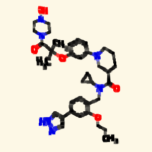 CCCOc1cc(-c2cn[nH]c2)ccc1CN(C(=O)[C@@H]1CCCN(c2cccc(OC(C)(C)C(=O)N3CCN(O)CC3)c2)C1)C1CC1